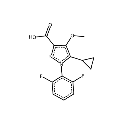 COc1c(C(=O)O)nn(-c2c(F)cccc2F)c1C1CC1